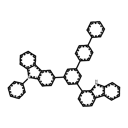 c1ccc(-c2ccc(-c3cc(-c4ccc5c(c4)c4ccccc4n5-c4ccccc4)cc(-c4cccc5c4[nH]c4ccccc45)c3)cc2)cc1